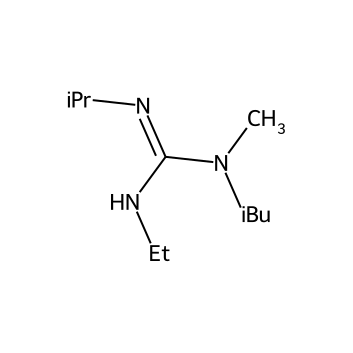 CCN/C(=N\C(C)C)N(C)C(C)CC